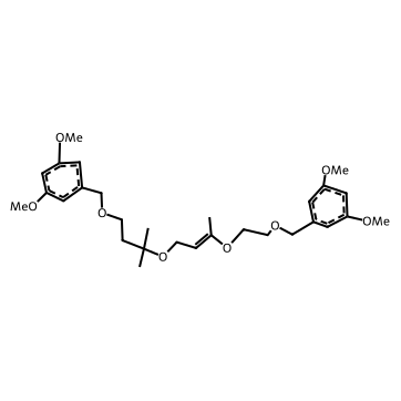 COc1cc(COCCO/C(C)=C/COC(C)(C)CCOCc2cc(OC)cc(OC)c2)cc(OC)c1